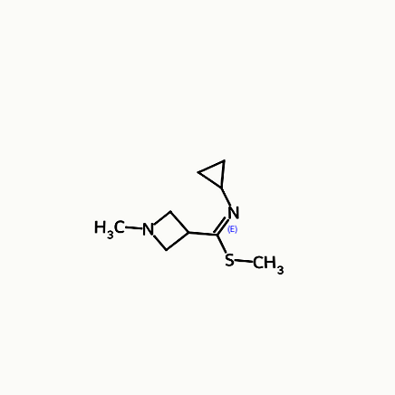 CS/C(=N/C1CC1)C1CN(C)C1